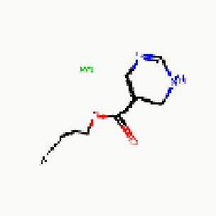 CCCOC(=O)C1CN=CNC1.Cl